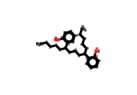 CCCCCC(C[Se]CC(CCCCC)c1ccccc1O)c1ccccc1O